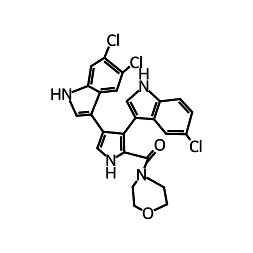 O=C(c1[nH]cc(-c2c[nH]c3cc(Cl)c(Cl)cc23)c1-c1c[nH]c2ccc(Cl)cc12)N1CCOCC1